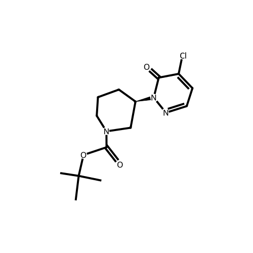 CC(C)(C)OC(=O)N1CCC[C@@H](n2nccc(Cl)c2=O)C1